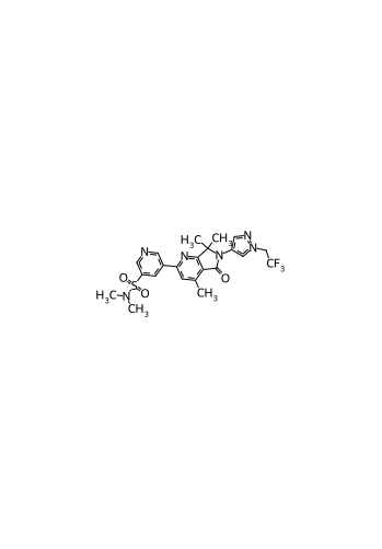 Cc1cc(-c2cncc(S(=O)(=O)N(C)C)c2)nc2c1C(=O)N(c1cnn(CC(F)(F)F)c1)C2(C)C